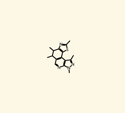 Cc1nc2c(s1)-c1c(cnc3c1c(C)nn3C)C(C)C2C